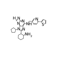 Nc1nc(NCc2ccc(-c3cccs3)nc2)c2nc(C3CCCCC3N)n(C3CCCC3)c2n1